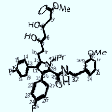 COC(=O)C[C@H](O)C[C@H](O)CCc1c(-c2ccc(F)cc2)c(-c2ccc(F)cc2)c(C(=O)NCc2cccc(OC)c2)n1C(C)C